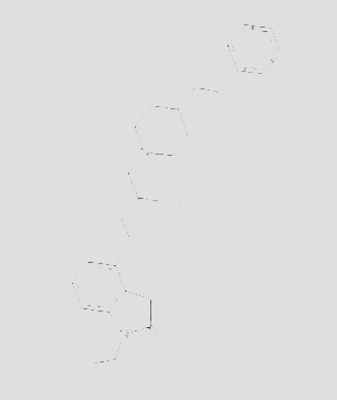 O=C(O)CN1C(=O)Cc2c(OCC(O)CN3CCC(COc4ccccc4)CC3)cccc21